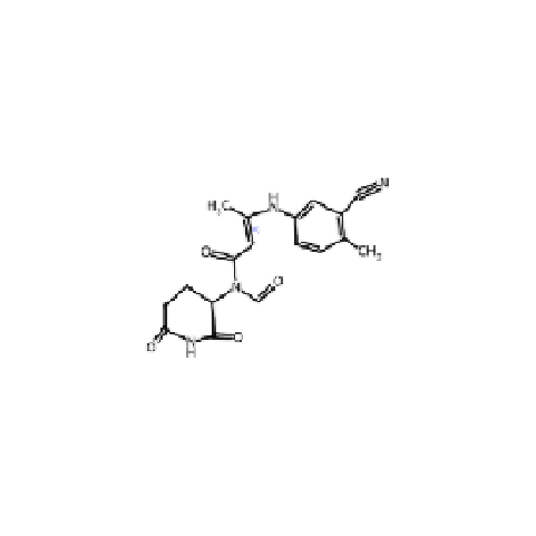 C/C(=C\C(=O)N(C=O)C1CCC(=O)NC1=O)Nc1ccc(C)c(C#N)c1